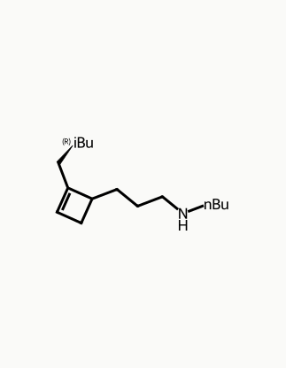 CCCCNCCCC1CC=C1C[C@H](C)CC